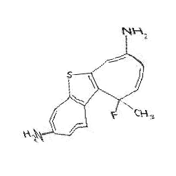 CC1(F)C=CC(N)=Cc2sc3cc(N)ccc3c21